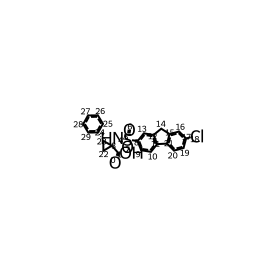 O=C(O)[C@]1(NS(=O)(=O)c2ccc3c(c2)Cc2cc(Cl)ccc2-3)C[C@@H]1c1ccccc1